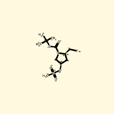 CC(C)(C)OC(=O)N1C[C@H](OS(C)(=O)=O)C[C@@H]1CF